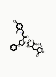 NC(=O)C(CC1CCNC1=O)NC(=O)[C@@H]1C[C@@H](c2ccccc2)CN1C(=O)/C=C/c1ccc(Cl)cc1F